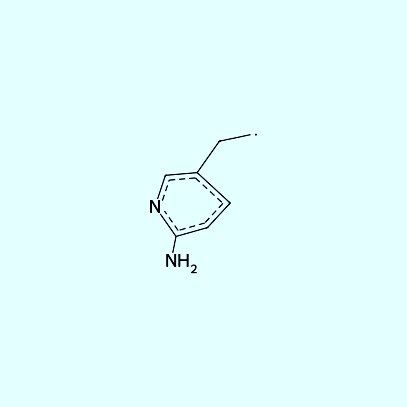 [CH2]Cc1ccc(N)nc1